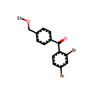 CCOCc1ccc(C(=O)c2ccc(Br)cc2Br)cc1